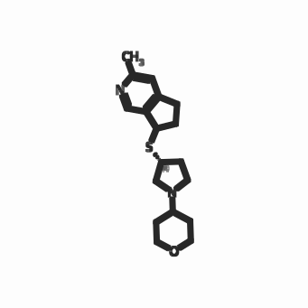 Cc1cc2c(cn1)C(S[C@@H]1CCN(C3CCOCC3)C1)CC2